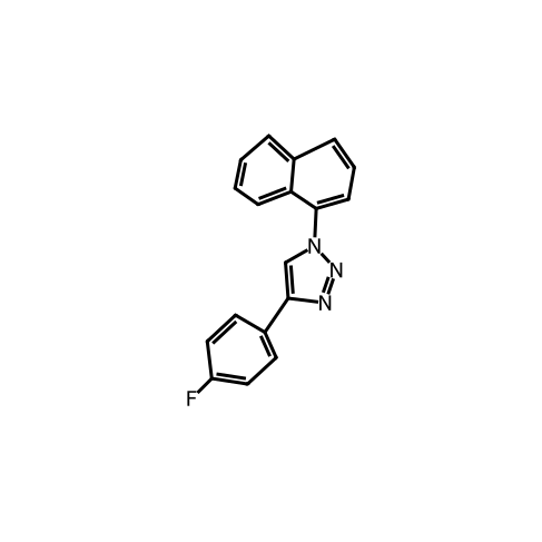 Fc1ccc(-c2cn(-c3cccc4ccccc34)nn2)cc1